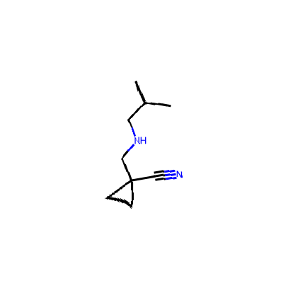 CC(C)CNCC1(C#N)CC1